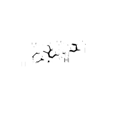 COC(OC)c1nc(N(C)C(=O)Nc2cc(Cl)c(C#N)cn2)ccc1CN1CCN(C)CC1=C=O